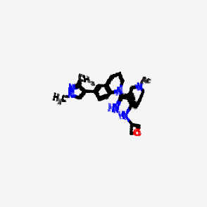 CC(=O)N1CCC(NC2COC2)=C(C(=N)N2CCCc3cc(C4CN(C)N=C4C)ccc32)C1